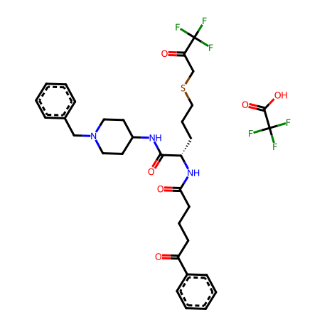 O=C(CCCC(=O)c1ccccc1)N[C@@H](CCCSCC(=O)C(F)(F)F)C(=O)NC1CCN(Cc2ccccc2)CC1.O=C(O)C(F)(F)F